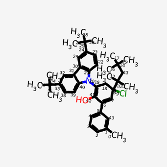 Cc1cccc(C2=CC(Cl)(C(C)(C)CC(C)(C)C)CC(n3c4ccc(C(C)(C)C)cc4c4cc(C(C)(C)C)ccc43)=C2O)c1